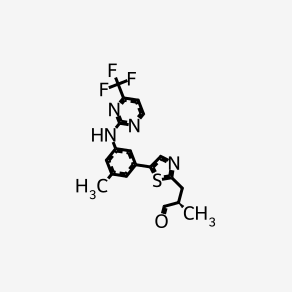 Cc1cc(Nc2nccc(C(F)(F)F)n2)cc(-c2cnc(C[C@@H](C)C=O)s2)c1